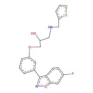 OC(CNCc1cccs1)COc1cccc(-c2noc3cc(F)ccc23)c1